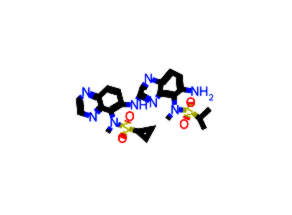 CC(C)S(=O)(=O)N(C)c1c(N)ccc2ncc(Nc3ccc4nccnc4c3N(C)S(=O)(=O)C3CC3)nc12